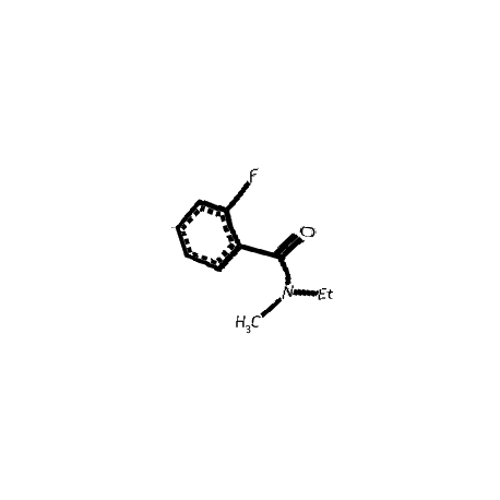 CCN(C)C(=O)c1cc[c]cc1F